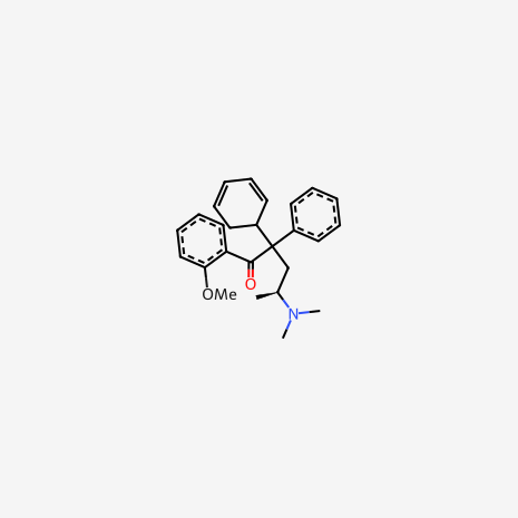 COc1ccccc1C(=O)C(C[C@H](C)N(C)C)(c1ccccc1)C1C=CC=CC1